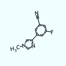 Cn1cnc(-c2cc(F)cc(C#N)c2)c1